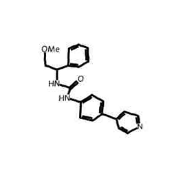 COCC(NC(=O)Nc1ccc(-c2ccncc2)cc1)c1ccccc1